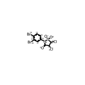 O=C1C(Cl)C(Cl)S(=O)(=O)N1c1ccc(Br)c(Br)c1